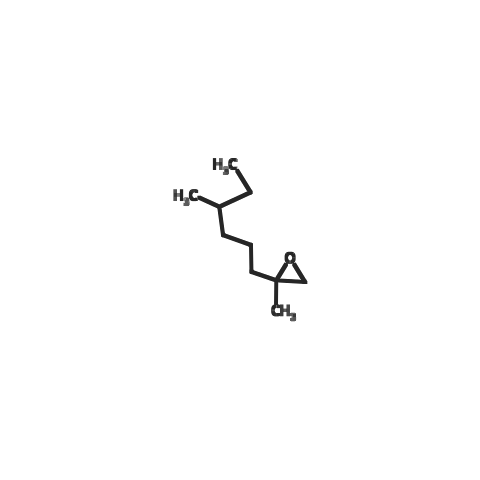 CCC(C)CCCC1(C)CO1